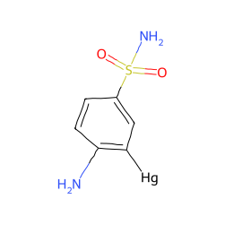 Nc1ccc(S(N)(=O)=O)c[c]1[Hg]